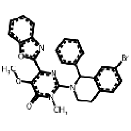 COc1c(-c2nc3ccccc3o2)nc(N2CCc3ccc(Br)cc3C2c2ccccc2)n(C)c1=O